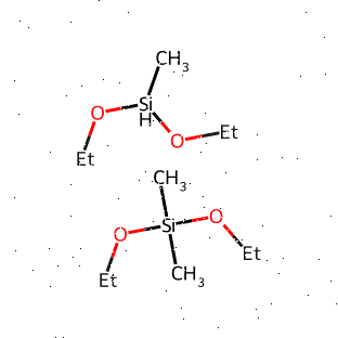 CCO[SiH](C)OCC.CCO[Si](C)(C)OCC